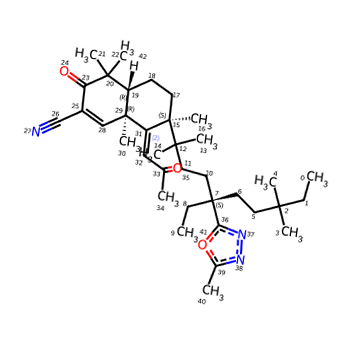 CCC(C)(C)CC[C@@](CC)(CCC(C)(C)[C@]1(C)CC[C@H]2C(C)(C)C(=O)C(C#N)=C[C@]2(C)/C1=C/C(C)=O)c1nnc(C)o1